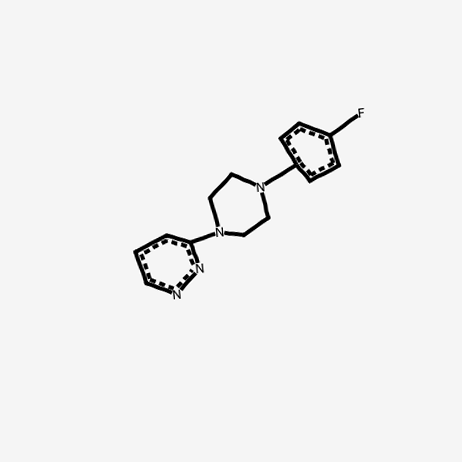 Fc1ccc(N2CCN(c3cccnn3)CC2)cc1